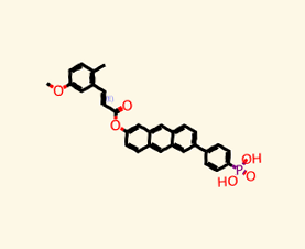 COc1ccc(C)c(/C=C/C(=O)Oc2ccc3cc4cc(-c5ccc(P(=O)(O)O)cc5)ccc4cc3c2)c1